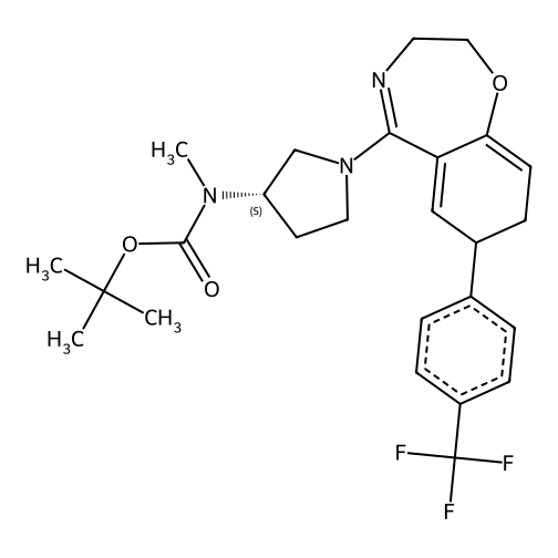 CN(C(=O)OC(C)(C)C)[C@H]1CCN(C2=NCCOC3=CCC(c4ccc(C(F)(F)F)cc4)C=C32)C1